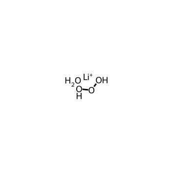 O.OOO.[Li+]